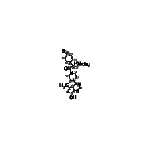 C[C@@H]1C[C@@H](O)c2ncnc(N3CCN(C(=O)C(CNC(C)(C)C)c4ccc(Br)cc4)CC3)c21